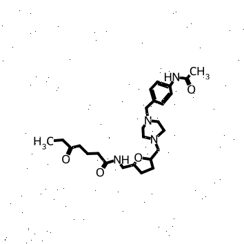 CCC(=O)CCCC(=O)NCC1CCC(CN2CCN(Cc3ccc(NC(C)=O)cc3)CC2)O1